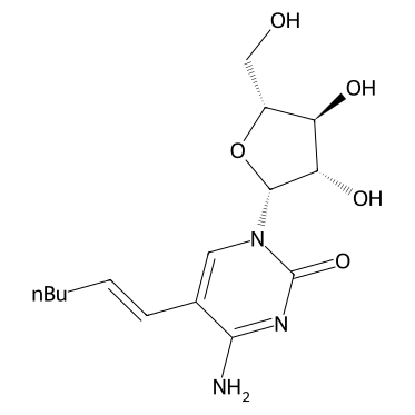 CCCC/C=C/c1cn([C@@H]2O[C@H](CO)[C@@H](O)[C@@H]2O)c(=O)nc1N